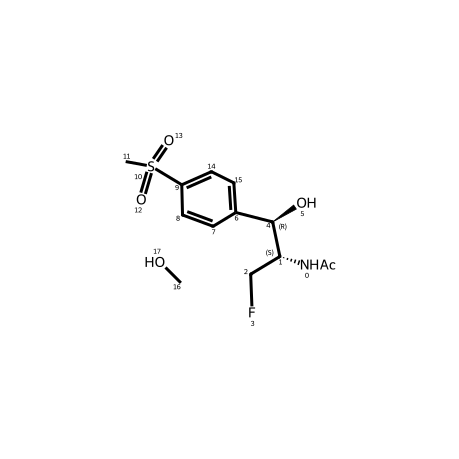 CC(=O)N[C@H](CF)[C@H](O)c1ccc(S(C)(=O)=O)cc1.CO